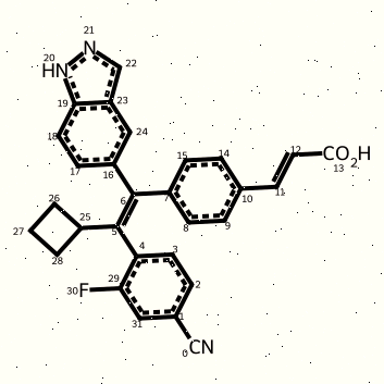 N#Cc1ccc(/C(=C(\c2ccc(/C=C/C(=O)O)cc2)c2ccc3[nH]ncc3c2)C2CCC2)c(F)c1